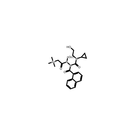 CCCCCCCCN(C(=O)[CH2][Sn]([CH3])([CH3])[CH3])N(C(=O)c1cccc2ccccc12)C(=O)N(CCO)C1CC1